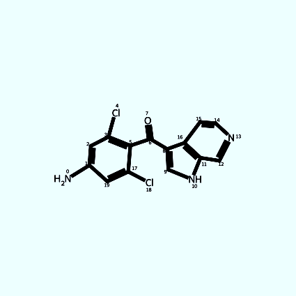 Nc1cc(Cl)c(C(=O)c2c[nH]c3cnccc23)c(Cl)c1